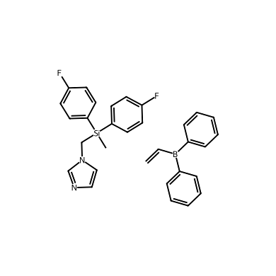 C=CB(c1ccccc1)c1ccccc1.C[Si](Cn1ccnc1)(c1ccc(F)cc1)c1ccc(F)cc1